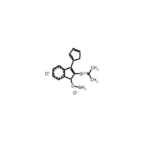 C[C](C)=[Zr+2][C]1=C(C2=CC=CC2)c2ccccc2C1O[SiH3].[Cl-].[Cl-]